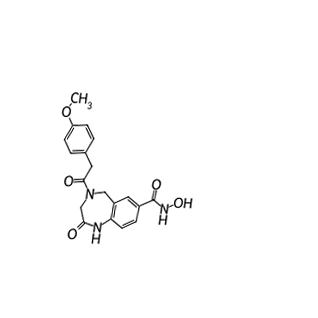 COc1ccc(CC(=O)N2CC(=O)Nc3ccc(C(=O)NO)cc3C2)cc1